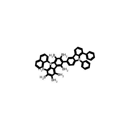 Bc1c(B)c(B)c2c(c1B)c1c(B)c(-c3ccc4c(c3)c3cccc(-c5ccccc5)c3n4-c3ccccc3)c(B)c(B)c1n2-c1cccc2ccccc12